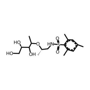 Cc1cc(C)c(S(=O)(=O)NC[C@H](C)OC(C)C(O)[C@H](O)CO)c(C)c1